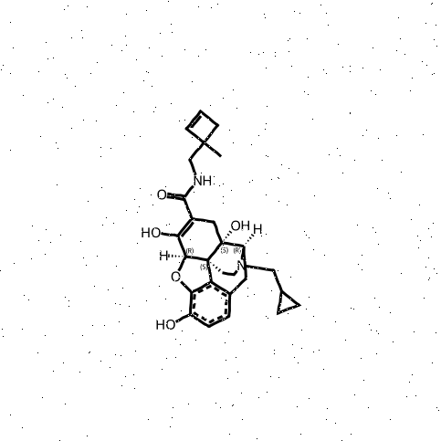 CC1(CNC(=O)C2=C(O)[C@@H]3Oc4c(O)ccc5c4[C@@]34CCN(CC3CC3)[C@H](C5)[C@]4(O)C2)C=CC1